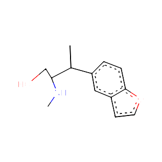 CNC(CO)C(C)c1ccc2occc2c1